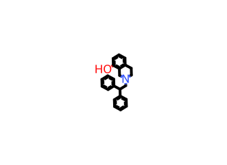 Oc1cccc2c1CN(CC(c1ccccc1)c1ccccc1)CC2